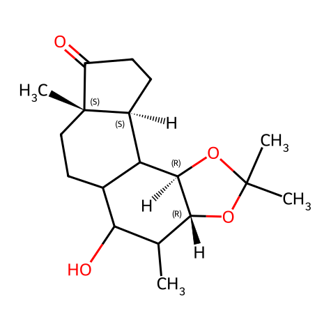 CC1C(O)C2CC[C@]3(C)C(=O)CC[C@H]3C2[C@H]2OC(C)(C)O[C@H]12